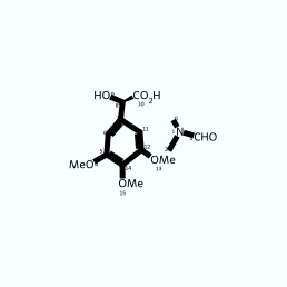 CN(C)C=O.COc1cc([C@@H](O)C(=O)O)cc(OC)c1OC